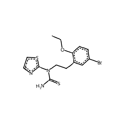 CCOc1ccc(Br)cc1CCN(C(N)=S)c1nccs1